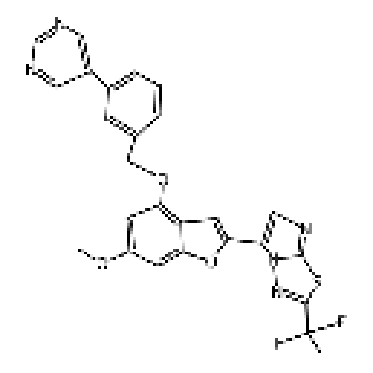 COc1cc(OCc2cccc(-c3cncnc3)c2)c2cc(-c3cnc4sc(C(C)(F)F)nn34)oc2c1